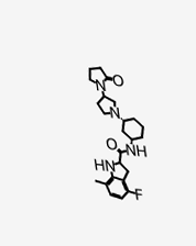 Cc1ccc(F)c2c1NC(C(=O)N[C@@H]1CCC[C@@H](N3CCC(N4CCCC4=O)C3)C1)C2